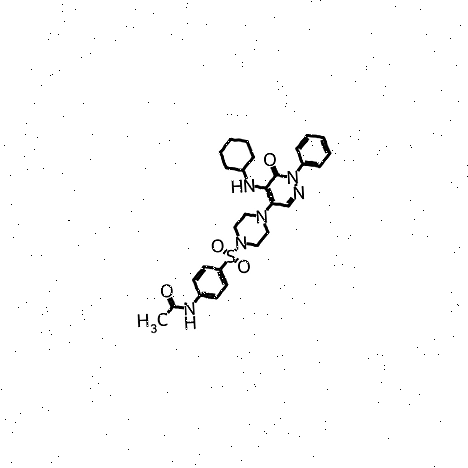 CC(=O)Nc1ccc(S(=O)(=O)N2CCN(c3cnn(-c4ccccc4)c(=O)c3NC3CCCCC3)CC2)cc1